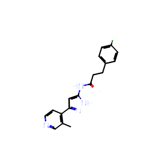 Cc1cnccc1-c1cc(NC(=O)CCc2ccc(Cl)cc2)[nH]n1